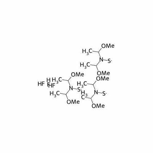 COC(C)N([S])C(C)OC.COC(C)N([S])C(C)OC.COC(C)N([S])C(C)OC.F.F.F